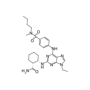 CCCCN(C)S(=O)(=O)c1ccc(Nc2nc(N[C@H]3CCCC[C@H]3C(N)=O)nc3c2ncn3CC)cc1